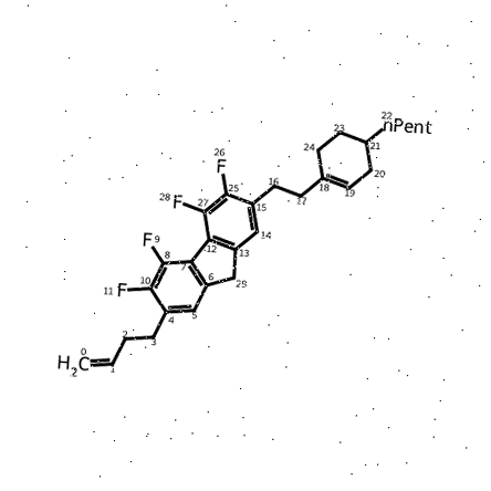 C=CCCc1cc2c(c(F)c1F)-c1c(cc(CCC3=CCC(CCCCC)CC3)c(F)c1F)C2